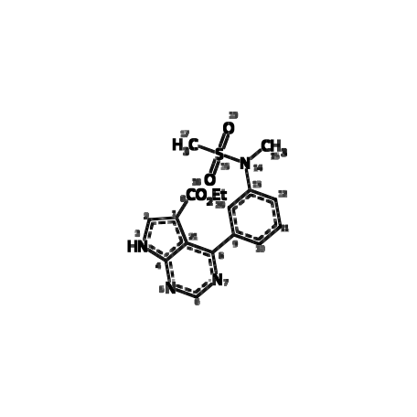 CCOC(=O)c1c[nH]c2ncnc(-c3cccc(N(C)S(C)(=O)=O)c3)c12